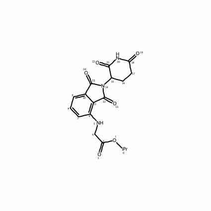 CC(C)OC(=O)CNc1cccc2c1C(=O)N(C1CCC(=O)NC1=O)C2=O